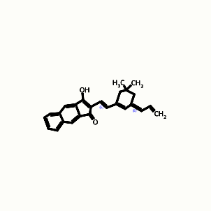 C=C/C=C1C=C(/C=C/C2=C(O)c3cc4ccccc4cc3C2=O)CC(C)(C)C/1